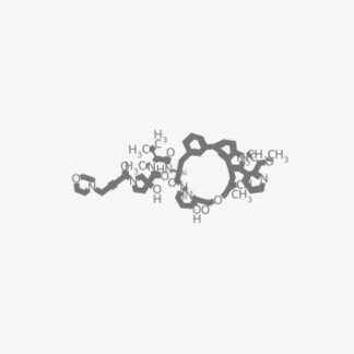 CO[C@@H](C)c1ncccc1-c1c2c3cc(ccc3n1C)-c1cccc(c1)C[C@H](NC(=O)[C@H](C(C)C)N(C)C(=O)C1(O)CCN(C(=O)C#CCN3CCOCC3)C1)C(=O)N1CCC[C@@](O)(N1)C(=O)OCC(C)(C)C2